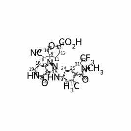 Cc1cc(Nc2nn(C3(CC#N)CCC(C(=O)O)OC3)c3cc[nH]c(=O)c23)ccc1C(=O)N(C)CC(F)(F)F